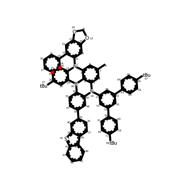 Cc1cc2c3c(c1)N(c1cc4c(cc1-c1ccccc1)OCO4)c1ccc(C(C)(C)C)cc1B3c1ccc(-c3ccc4c(c3)sc3ccccc34)cc1N2c1cc(-c2ccc(C(C)(C)C)cc2)cc(-c2ccc(C(C)(C)C)cc2)c1